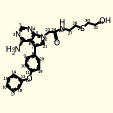 Nc1ncnc2c1c(-c1ccc(Oc3ccccc3)cc1)cn2CC(=O)NCCSCCO